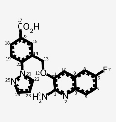 Nc1nc2ccc(F)cc2cc1OCc1cc(C(=O)O)ccc1-n1cccn1